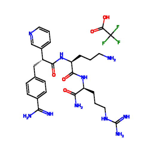 N=C(N)NCCC[C@H](NC(=O)[C@H](CCCN)NC(=O)[C@H](Cc1ccc(C(=N)N)cc1)c1cccnc1)C(N)=O.O=C(O)C(F)(F)F